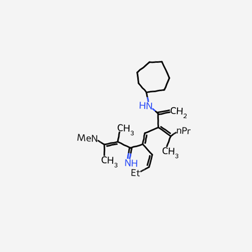 C=C(NC1CCCCCC1)C(/C=C(\C=C/CC)C(=N)/C(C)=C(\C)NC)=C(/C)CCC